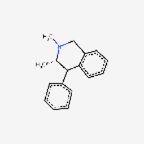 C[C@H]1C(c2ccccc2)c2ccccc2CN1C